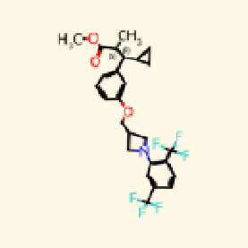 COC(=O)[C@@H](C)[C@H](c1cccc(OCC2CN(c3cc(C(F)(F)F)ccc3C(F)(F)F)C2)c1)C1CC1